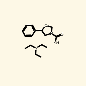 CCN(CC)CC.S=C(S)N1COC(c2ccccc2)C1